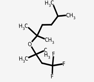 CC(C)CCC(C)(C)OC(C)(C)CC(F)(F)F